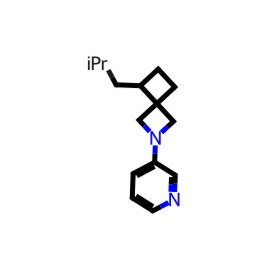 CC(C)CC1CCC12CN(c1cccnc1)C2